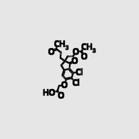 CC(=O)CCC1(CCOC(C)=O)Cc2cc(OCC(=O)O)c(Cl)c(Cl)c2C1=O